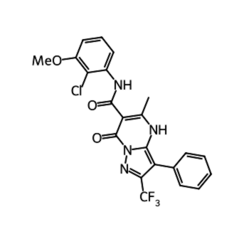 COc1cccc(NC(=O)c2c(C)[nH]c3c(-c4ccccc4)c(C(F)(F)F)nn3c2=O)c1Cl